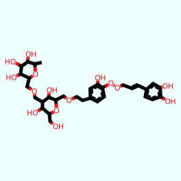 CC1OC(COCC2C(O)C(CO)OC(COCCc3ccc(OOC/C=C/c4ccc(O)c(O)c4)c(O)c3)C2O)C(O)C(O)C1O